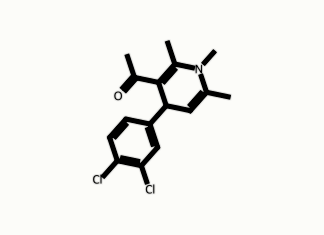 CC(=O)C1=C(C)N(C)C(C)=[C]C1c1ccc(Cl)c(Cl)c1